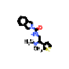 CN(C)C(CNC(=O)N1Cc2ccccc2C1)c1ccsc1